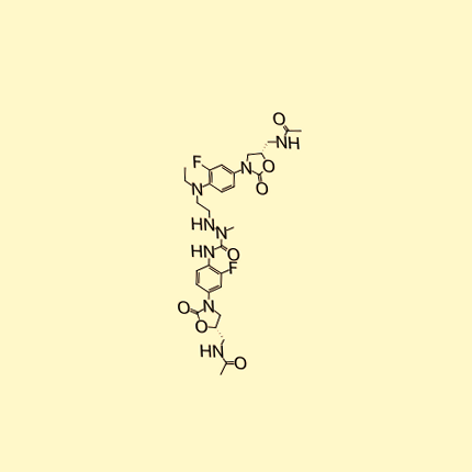 CCN(CCNN(C)C(=O)Nc1ccc(N2C[C@H](CNC(C)=O)OC2=O)cc1F)c1ccc(N2C[C@H](CNC(C)=O)OC2=O)cc1F